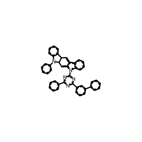 C1=c2c(n(-c3nc(-c4ccccc4)nc(-c4cccc(-c5ccccc5)c4)n3)c3ccccc23)=CC2C1c1ccccc1N2c1ccccc1